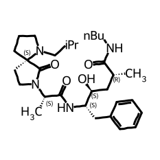 CCCCNC(=O)[C@H](C)C[C@H](O)[C@H](Cc1ccccc1)NC(=O)[C@H](C)N1CC[C@@]2(CCCN2CC(C)C)C1=O